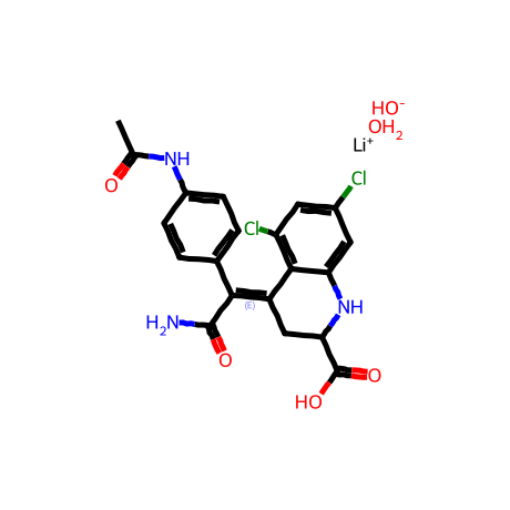 CC(=O)Nc1ccc(/C(C(N)=O)=C2/CC(C(=O)O)Nc3cc(Cl)cc(Cl)c32)cc1.O.[Li+].[OH-]